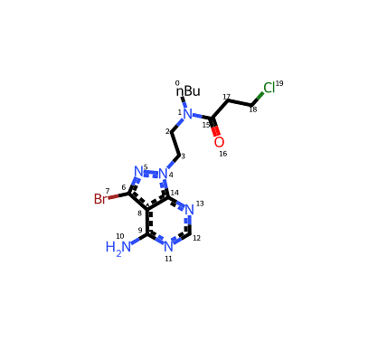 CCCCN(CCn1nc(Br)c2c(N)ncnc21)C(=O)CCCl